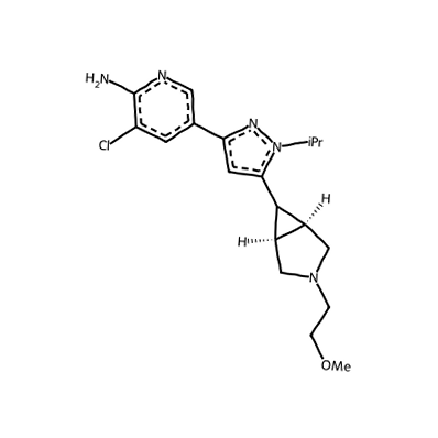 COCCN1C[C@@H]2C(c3cc(-c4cnc(N)c(Cl)c4)nn3C(C)C)[C@@H]2C1